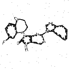 O=c1[nH]c2cnc(-n3cnc4ccccc43)nc2n1[C@H]1CCOc2ccc(F)cc21